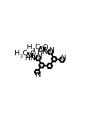 CCOC(=O)Nc1cncc(-c2cc(-c3cccnc3)cc(-c3cccc(-c4cc(-c5cccnc5)cc(-c5cncc(NC(=O)OCC)c5)c4)c3)c2)c1